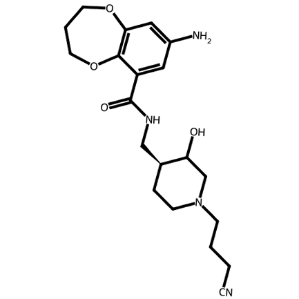 N#CCCCN1CC[C@@H](CNC(=O)c2cc(N)cc3c2OCCCO3)C(O)C1